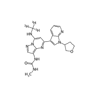 [2H]C([2H])([2H])Nc1cc(-c2cn(C3CCOC3)c3ncccc23)nc2c(NC(=O)NC)cnn12